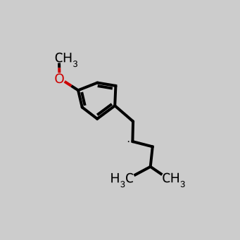 COc1ccc(C[CH]CC(C)C)cc1